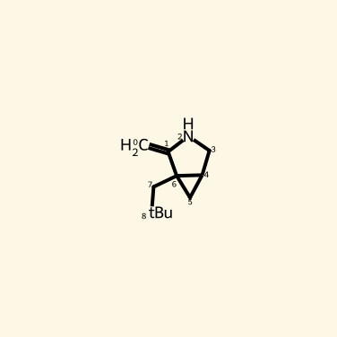 C=C1NCC2CC12CC(C)(C)C